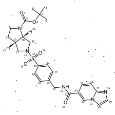 CC(C)(C)OC(=O)N1CC[C@H]2CN(S(=O)(=O)c3ccc(CNC(=O)c4ccc5nccn5c4)cc3)C[C@H]21